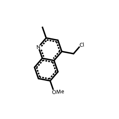 COc1ccc2nc(C)cc(CCl)c2c1